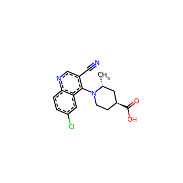 C[C@@H]1C[C@@H](C(=O)O)CCN1c1c(C#N)cnc2ccc(Cl)cc12